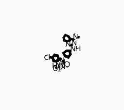 CN(C)c1nc(N[C@H]2CC[C@@H](N(C(N)=O)c3ccc(Cl)cc3[N+](=O)[O-])CC2)nc2c1CCCC2